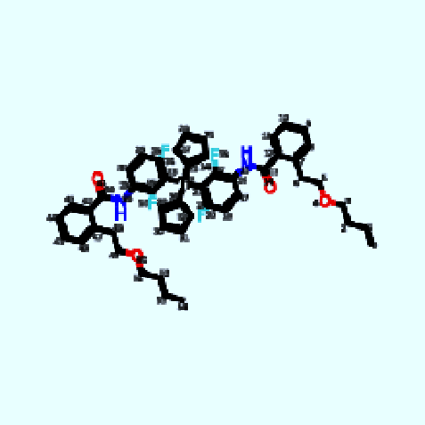 CCCCOCCc1ccccc1C(=O)Nc1ccc(F)[c]([Ti]([C]2=CC=CC2)([C]2=CC=CC2)[c]2c(F)ccc(NC(=O)c3ccccc3CCOCCCC)c2F)c1F